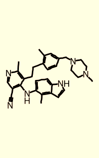 Cc1cc(CN2CCN(C)CC2)ccc1CCc1c(C)ncc(C#N)c1Nc1ccc2[nH]ccc2c1C